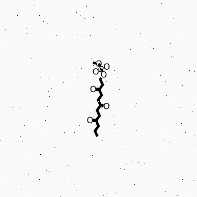 CCCC(=O)CCC(=O)CCC(=O)CCOS(=O)(=O)OC